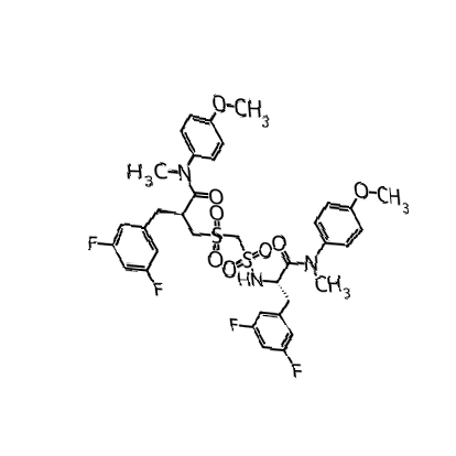 COc1ccc(N(C)C(=O)[C@H](Cc2cc(F)cc(F)c2)CS(=O)(=O)CS(=O)(=O)N[C@@H](Cc2cc(F)cc(F)c2)C(=O)N(C)c2ccc(OC)cc2)cc1